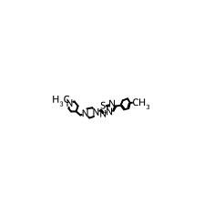 CC1=CC=C(c2cn3nc(N4CCN(CC5CCN(C)CC5)CC4)sc3n2)CC1